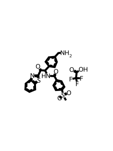 CS(=O)(=O)c1ccc(C(=O)NC(C(=O)c2nc3ccccc3s2)c2ccc(CN)cc2)cc1.O=C(O)C(F)(F)F